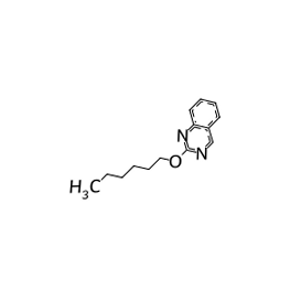 CCCCCCOc1ncc2ccccc2n1